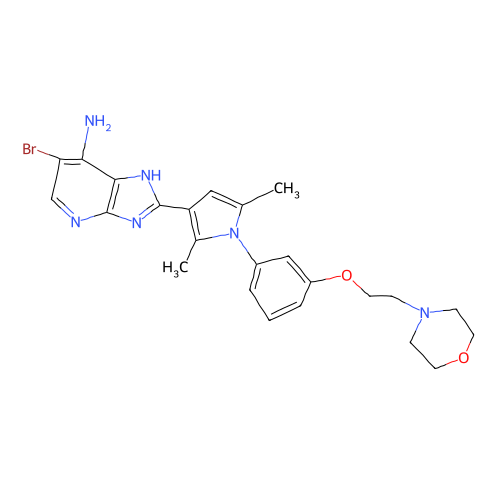 Cc1cc(-c2nc3ncc(Br)c(N)c3[nH]2)c(C)n1-c1cccc(OCCN2CCOCC2)c1